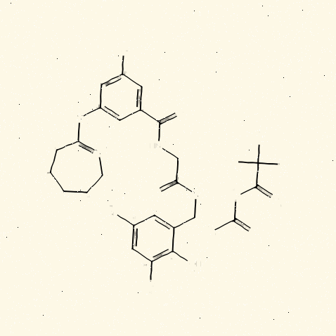 O=C(CNC(=O)c1cc(O)cc(NC2=NCCCCC2)c1)N[C@H](CC(=O)OC(=O)C(F)(F)F)c1cc(Br)cc(Br)c1O